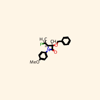 COc1ccc(N2C(=O)[C@](C)(OCc3ccccc3)[C@@H]2[C@H](C)F)cc1